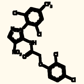 O=C(COc1ccc(Cl)cc1Cl)Nc1c([N+](=O)[O-])cnn1-c1c(Cl)cc(C(F)(F)F)cc1Cl